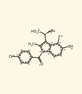 CCC(C)[C@H](C(=O)O)c1c(C)n(C(=O)c2ccc(Cl)cc2)c2ccc(O)c(F)c12